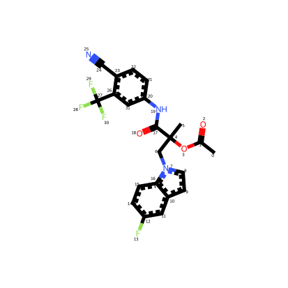 CC(=O)OC(C)(Cn1ccc2cc(F)ccc21)C(=O)Nc1ccc(C#N)c(C(F)(F)F)c1